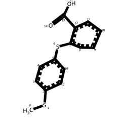 CSc1ccc(Sc2ccccc2C(=O)O)cc1